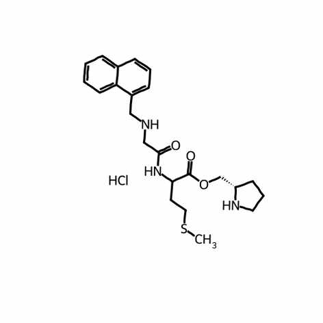 CSCCC(NC(=O)CNCc1cccc2ccccc12)C(=O)OC[C@@H]1CCCN1.Cl